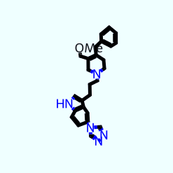 COCC1=C(Cc2ccccc2)CCN(CCCc2c[nH]c3ccc(-n4cnnc4)cc23)C1